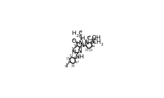 C=CCn1c(=O)c2cnc(Nc3ccc(I)cc3)nc2n1-c1cccc(C(C)(C)O)n1